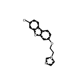 Clc1ccc2c(c1)oc1cc(OCCn3ccnc3)ccc12